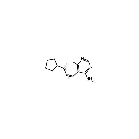 Cc1ncnc(N)c1/C=C\[C@@H](C)C1CCCC1